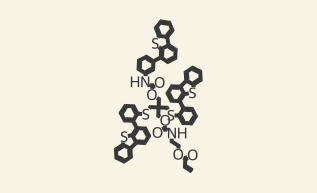 C=CC(=O)OCCNC(=O)OCC(COC(=O)Nc1cccc(-c2cccc3c2sc2ccccc23)c1)(CSc1ccccc1-c1cccc2c1sc1ccccc12)CSc1ccccc1-c1cccc2c1sc1ccccc12